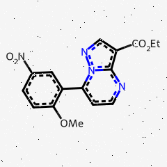 CCOC(=O)c1cnn2c(-c3cc([N+](=O)[O-])ccc3OC)ccnc12